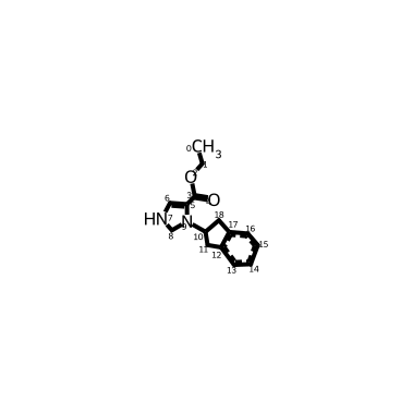 CCOC(=O)C1=CNCN1C1Cc2ccccc2C1